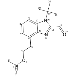 C[SiH](C)OCCc1cccc2c1nc(C=O)n2C(C)(C)C